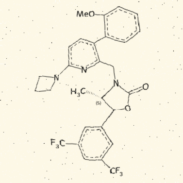 COc1ccccc1-c1ccc(N2CCC2)nc1CN1C(=O)OC(c2cc(C(F)(F)F)cc(C(F)(F)F)c2)[C@@H]1C